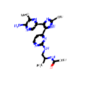 COc1nc(-c2nc(C(C)(C)C)[nH]c2-c2ccnc(NCC(C)NC(=O)OCC(C)C)n2)cnc1N